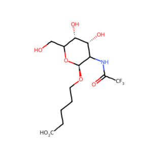 O=C(O)CCCCO[C@H]1OC(CO)[C@H](O)[C@H](O)C1NC(=O)C(F)(F)F